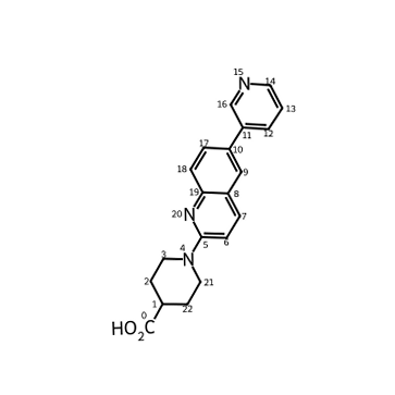 O=C(O)C1CCN(c2ccc3cc(-c4cccnc4)ccc3n2)CC1